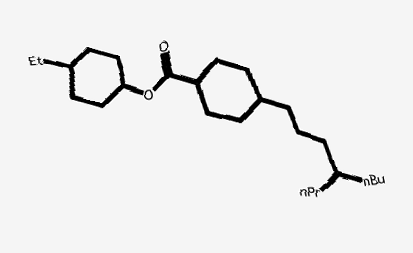 CCCCC(CCC)CCCC1CCC(C(=O)OC2CCC(CC)CC2)CC1